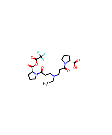 CCN(CCC(=O)N1CCC[C@@H]1C(=O)O)CCC(=O)N1CCC[C@@H]1C(=O)OC(=O)C(F)(F)F